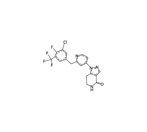 O=C1NCCc2c1cnn2-c1ccnc(Cc2cc(Cl)c(F)c(C(F)(F)F)c2)c1